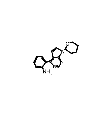 Nc1ccccc1-c1ncnc2c1ccn2C1CCCCO1